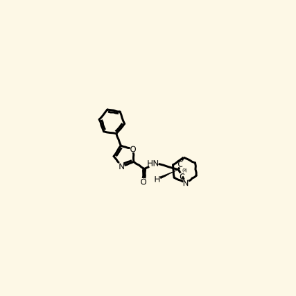 O=C(N[C@@H]1CC2CCN(CC2)C1)c1ncc(-c2ccccc2)o1